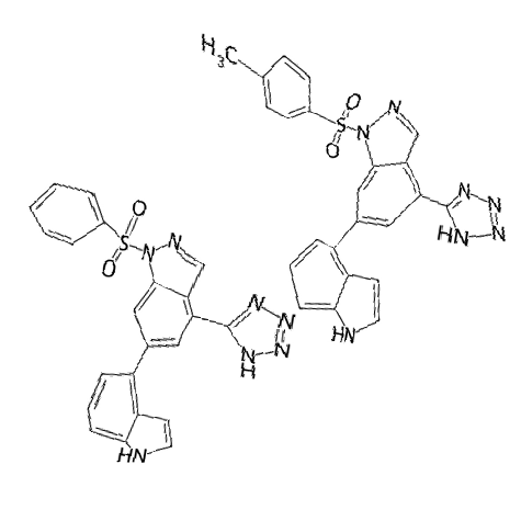 Cc1ccc(S(=O)(=O)n2ncc3c(-c4nnn[nH]4)cc(-c4cccc5[nH]ccc45)cc32)cc1.O=S(=O)(c1ccccc1)n1ncc2c(-c3nnn[nH]3)cc(-c3cccc4[nH]ccc34)cc21